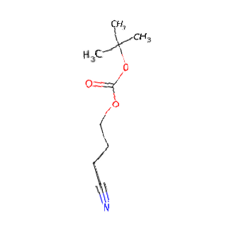 CC(C)(C)OC(=O)OCCCC#N